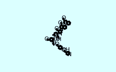 CCOc1cc(C=O)ccc1O.Cc1cccc(C=O)n1.O=Cc1ccc(O)cc1.O=Cc1cccnc1.O=Cc1ccnc2ccccc12.O=Cc1ccncc1.O=Cc1cnc2ccccc2c1